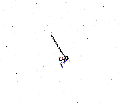 CCCCCCCCCCCCCCCCCCc1cccc2[nH]c(C)c(C3OCCCC3NCC#N)c12